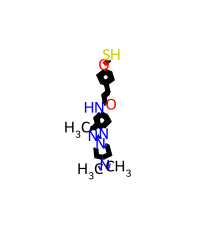 Cc1nc(N2CCC(N(C)C)CC2)nc2ccc(NC(=O)C=Cc3ccc(OCS)cc3)cc12